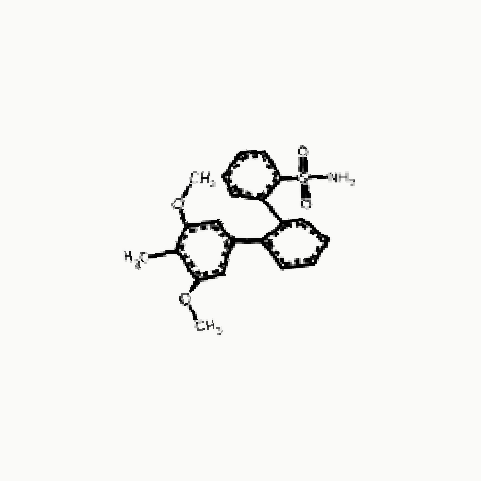 COc1cc(-c2ccccc2-c2ccccc2S(N)(=O)=O)cc(OC)c1C